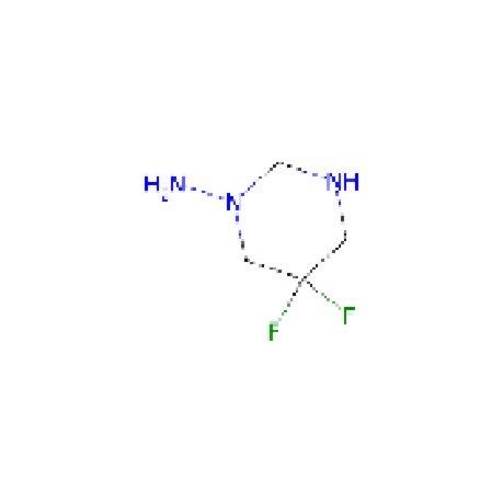 NN1CNCC(F)(F)C1